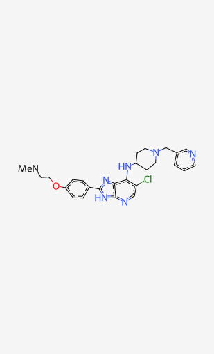 CNCCOc1ccc(-c2nc3c(NC4CCN(Cc5cccnc5)CC4)c(Cl)cnc3[nH]2)cc1